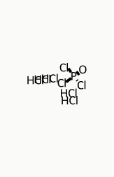 Cl.Cl.Cl.Cl.Cl.O=P(Cl)(Cl)Cl